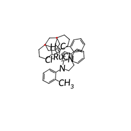 Cc1ccccc1N1CCN(c2ccccc2C)[C]1=[Ru]([Cl])([Cl])(=[CH]c1ccccc1)([CH]1CCCCC1)([CH]1CCCCC1)[CH]1CCCCC1